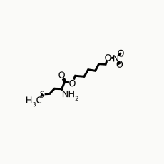 CSCCC(N)C(=O)OCCCCCCO[N+](=O)[O-]